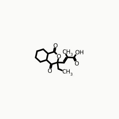 CCC1(C=C(C)C(=O)O)OC(=O)C2CCCCC2C1=O